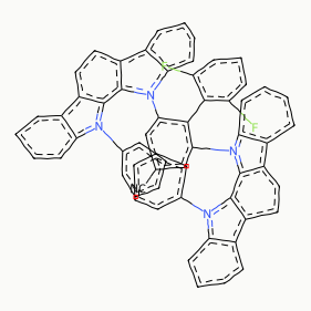 N#Cc1cc(-n2c3ccccc3c3ccc4c5ccccc5n(-c5ccccc5)c4c32)c(-c2c(F)cccc2F)c(-n2c3ccccc3c3ccc4c5ccccc5n(-c5ccccc5)c4c32)c1